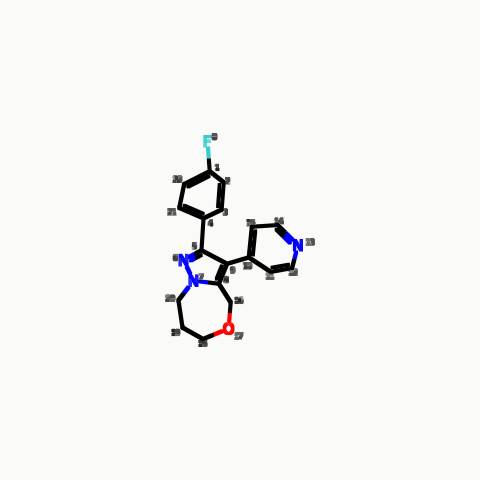 Fc1ccc(-c2nn3c(c2-c2ccncc2)COCCC3)cc1